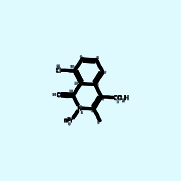 CCCn1c(C)c(C(=O)O)c2cccc(Cl)c2c1=O